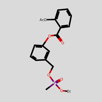 CCOP(C)(=O)OCc1cccc(OC(=O)c2ccccc2OC(C)=O)c1